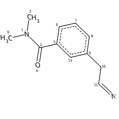 CN(C)C(=O)c1cccc(CC=N)c1